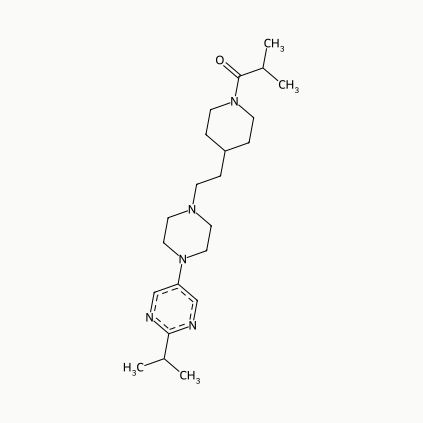 CC(C)C(=O)N1CCC(CCN2CCN(c3cnc(C(C)C)nc3)CC2)CC1